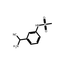 CS(=O)(=O)Nc1cccc(C(N)C#N)c1